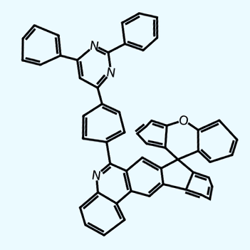 c1ccc(-c2cc(-c3ccc(-c4nc5ccccc5c5cc6c(cc45)C4(c5ccccc5Oc5ccccc54)c4ccccc4-6)cc3)nc(-c3ccccc3)n2)cc1